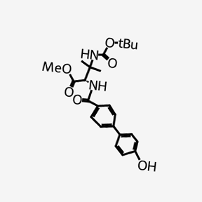 COC(=O)[C@@H](NC(=O)c1ccc(-c2ccc(O)cc2)cc1)C(C)(C)NC(=O)OC(C)(C)C